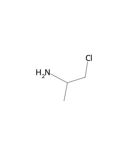 CC(N)CCl